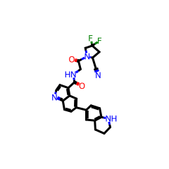 N#CC1CC(F)(F)CN1C(=O)CNC(=O)c1ccnc2ccc(-c3ccc4c(c3)CCCN4)cc12